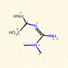 CCCCCCC(N=C(N)N(C)C)C(=O)O